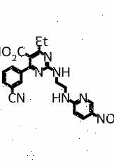 CCc1nc(NCCNc2ccc([N+](=O)[O-])cn2)nc(-c2cccc(C#N)c2)c1C(=O)O